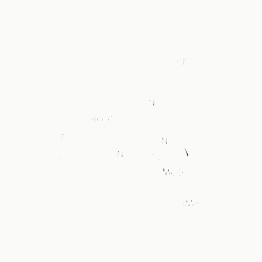 COC[C@@H]1C[C@@H](c2ccc(C(F)(F)F)cc2N2CCC(C(=O)O)CC2)CN1C(=O)[C@]1(C)CN(C2CCC(F)(F)CC2)C[C@H]1c1ccc(OC)cc1